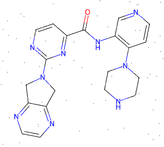 O=C(Nc1cnccc1N1CCNCC1)c1ccnc(N2Cc3nccnc3C2)n1